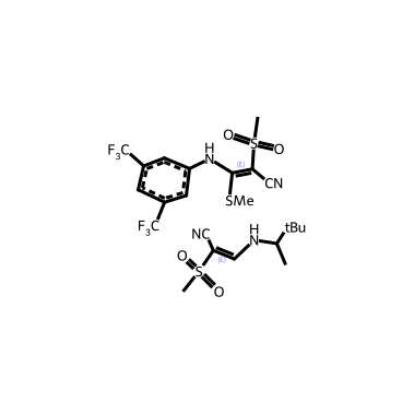 CC(N/C=C(\C#N)S(C)(=O)=O)C(C)(C)C.CS/C(Nc1cc(C(F)(F)F)cc(C(F)(F)F)c1)=C(\C#N)S(C)(=O)=O